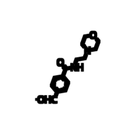 O=[C]c1ccc(C(=O)NCCN2CCOCC2)cc1